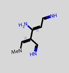 CN/C=C(C=N)/C(N)=C/C=N